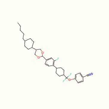 CCCCCC1CCC(C2COC(c3ccc(C4CCC(C(F)(F)Oc5ccc(C#N)cc5)CC4)c(F)c3)OC2)CC1